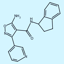 Nc1onc(-c2cccnc2)c1C(=O)NC1CCc2ccccc21